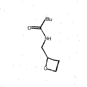 CCC(C)C(=O)NCC1CCO1